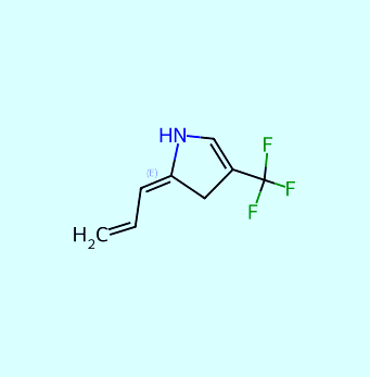 C=C/C=C1\CC(C(F)(F)F)=CN1